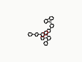 c1ccc(-c2ccc(-c3ccc(N(c4ccc(-c5cccc(-n6c7ccccc7c7ccccc76)c5)cc4)c4cccc(-c5ccccc5)c4-c4ccccc4-c4ccccc4)cc3)cc2)cc1